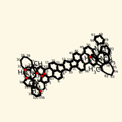 CCc1cc(-c2ccc3c4cc5c(cc4c4ccc(-c6ccc7c(c6)C6(C)CCCCCCC6(C)N7c6ccccc6)c2c34)c2ccc(-c3ccc4c(c3)C3(C)CCCCCCC3(C)N4c3ccccc3)c3c(-c4ccc6c(c4)C4(C)CCCCCCC4(C)N6c4ccccc4)ccc5c32)ccc1N(c1ccccc1)C1(C)CCCCCCC1